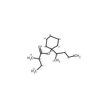 CCCC(C)C1(OC(=O)C(C)CC)CCCCC1